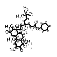 CCC(C)(C)CC[C@](C)(CCC(=O)OC1CCCCC1)CC[C@]1(C)C(C)C(=O)C=C2[C@@]3(C)C=C(C#N)C(=O)C(C)(C)[C@@H]3CC[C@]21C